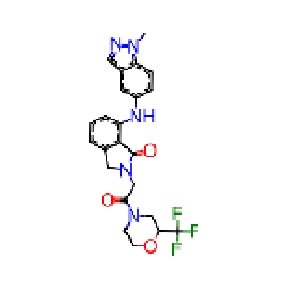 Cn1ncc2cc(Nc3cccc4c3C(=O)N(CC(=O)N3CCOC(C(F)(F)F)C3)C4)ccc21